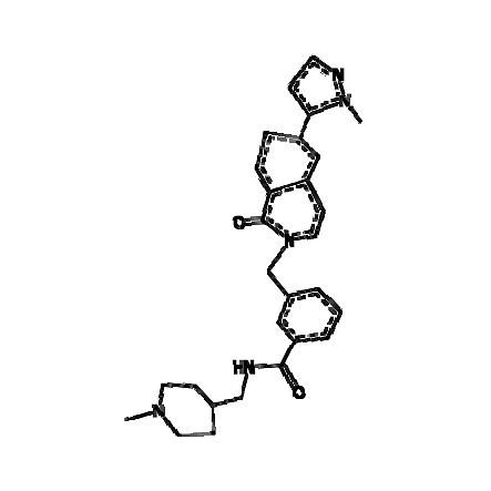 CN1CCC(CNC(=O)c2cccc(Cn3ccc4cc(-c5ccnn5C)ccc4c3=O)c2)CC1